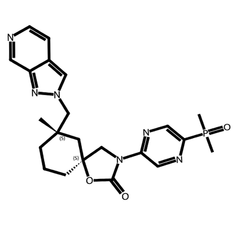 C[C@]1(Cn2cc3ccncc3n2)CCC[C@@]2(CN(c3cnc(P(C)(C)=O)cn3)C(=O)O2)C1